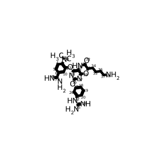 CN(C)c1ccc(C(=N)N)cc1Oc1nc(Oc2cccc(NC(=N)N)c2)nc2c1NC(=O)C(CCCCN)O2